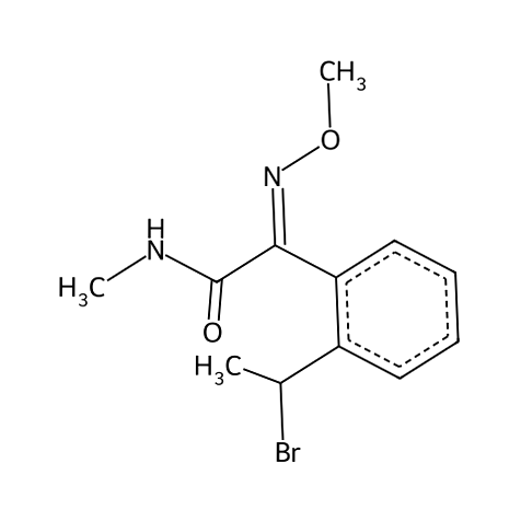 CNC(=O)/C(=N/OC)c1ccccc1C(C)Br